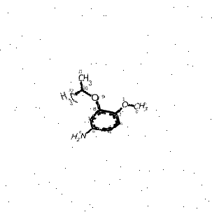 COc1ccc(N)cc1OC(C)C